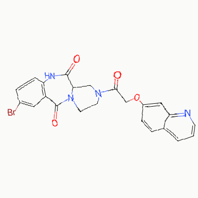 O=C1Nc2ccc(Br)cc2C(=O)N2CCN(C(=O)COc3ccc4cccnc4c3)CC12